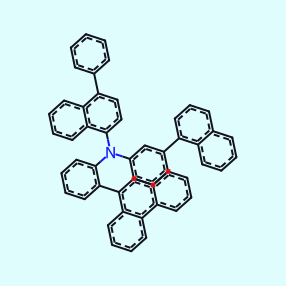 c1ccc(-c2ccc(N(c3cccc(-c4cccc5ccccc45)c3)c3ccccc3-c3cc4ccccc4c4ccccc34)c3ccccc23)cc1